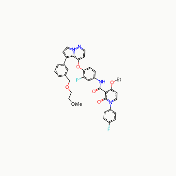 CCOc1ccn(-c2ccc(F)cc2)c(=O)c1C(=O)Nc1ccc(Oc2ccnn3ccc(-c4cccc(COCCOC)c4)c23)c(F)c1